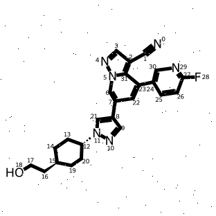 N#Cc1cnn2cc(-c3cnn([C@H]4CC[C@H](CCO)CC4)c3)cc(-c3ccc(F)nc3)c12